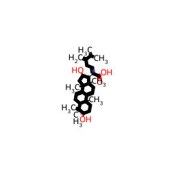 C=C(C/C=C(/C(=O)O)[C@H]1[C@H](O)C[C@@]2(C)C3=CCC4C(C)(C)[C@H](O)CC[C@]4(C)C3=CC[C@]12C)C(C)C